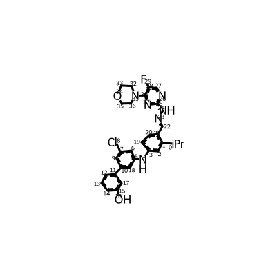 CC(C)c1cc(Nc2cc(Cl)cc(-c3cccc(O)c3)c2)ccc1/C=N/Nc1ncc(F)c(N2CCOCC2)n1